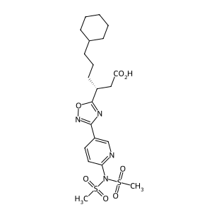 CS(=O)(=O)N(c1ccc(-c2noc([C@H](CCCC3CCCCC3)CC(=O)O)n2)cn1)S(C)(=O)=O